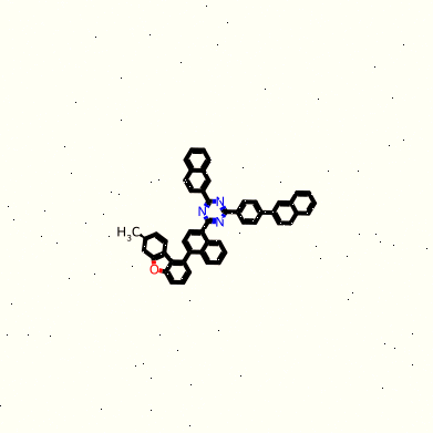 C[C@H]1C=Cc2c(oc3cccc(-c4ccc(-c5nc(-c6ccc(C7=CCC8C=CC=CC8=C7)cc6)nc(-c6ccc7ccccc7c6)n5)c5ccccc45)c23)C1